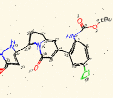 CC(C)(C)OC(=O)Nc1ccc(Cl)cc1-c1cc2n(c(=O)c1)C(c1cc(=O)[nH][nH]1)CC2